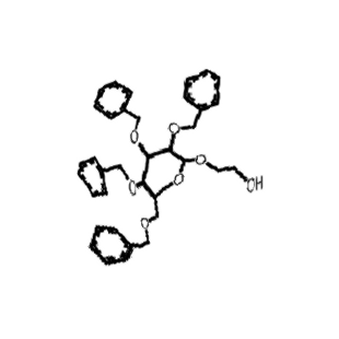 OCCOC1OC(COCc2ccccc2)C(OCc2ccccc2)C(OCc2ccccc2)C1OCc1ccccc1